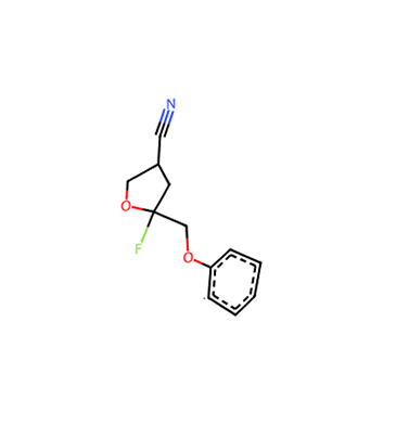 N#CC1COC(F)(COc2[c]cccc2)C1